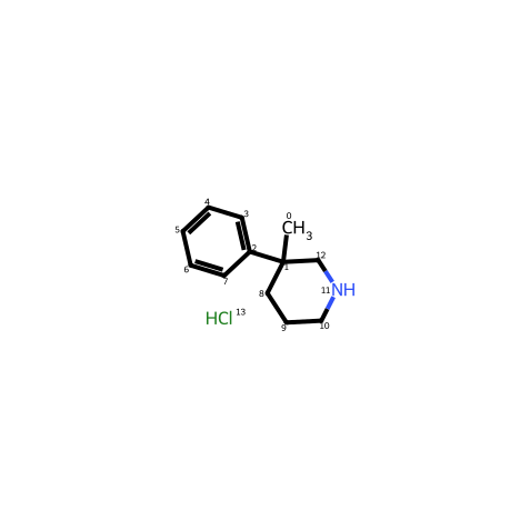 CC1(c2ccccc2)CCCNC1.Cl